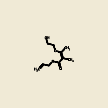 C=CCOC(=O)C(C)=C(C)OCCO